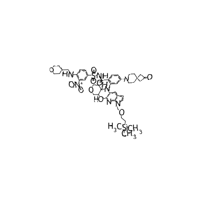 C[Si](C)(C)CCOCn1ccc2cc3c(nc21)O[C@H]1COCC[C@@H]1N3c1cc(N2CCC3(CC2)CC(=O)C3)ccc1C(=O)NS(=O)(=O)c1ccc(NCC2CCOCC2)c([N+](=O)[O-])c1